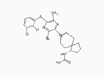 Cc1nc(N2CCC3(CCCC3NC(=O)O)CC2)c(Br)nc1Sc1cccc(Cl)c1Cl